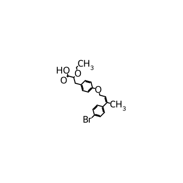 CCOC(Cc1ccc(OC/C=C(/C)c2ccc(Br)cc2)cc1)C(=O)O